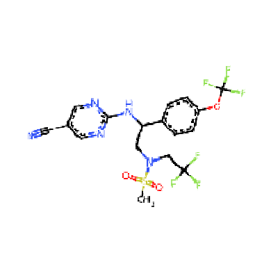 CS(=O)(=O)N(CC(Nc1ncc(C#N)cn1)c1ccc(OC(F)(F)F)cc1)CC(F)(F)F